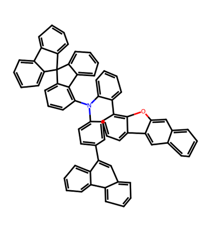 c1ccc(N(c2ccc(-c3cc4ccccc4c4ccccc34)cc2)c2cccc3c2-c2ccccc2C32c3ccccc3-c3ccccc32)c(-c2cccc3c2oc2cc4ccccc4cc23)c1